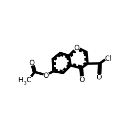 CC(=O)Oc1ccc2occ(C(=O)Cl)c(=O)c2c1